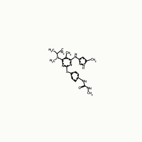 CNC(=O)Nc1ccc(Sc2nc(Nc3cc(C)[nH]n3)c(C)c(N(C)C(C)C)n2)cc1